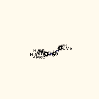 COc1cc(/C=C/C(=O)CC(=O)/C=C/c2ccc(OC(=O)N(C)CCN)c(OC)c2)ccc1O